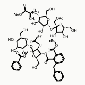 C=C(C)C(=O)OC.CC(=O)OC[C@@]1(O[C@H]2O[C@H](CO)[C@@H](O)[C@H](O)[C@H]2O)O[C@H](CO)[C@@H](O)[C@@H]1O.CCCCOC(=O)c1cccc(Cc2ccccc2)c1C(=O)O[C@@H]1[C@@H](CO)O[C@@](COC(=O)c2ccccc2)(O[C@H]2O[C@H](CO)[C@@H](O)[C@H](O)[C@H]2O)[C@H]1OC(=O)C(C)C